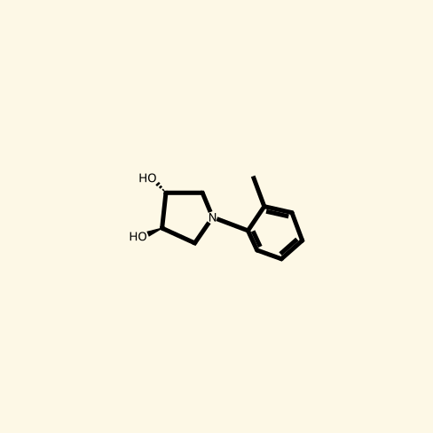 Cc1ccccc1N1C[C@@H](O)[C@H](O)C1